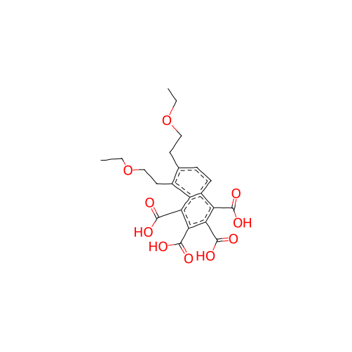 CCOCCc1ccc2c(C(=O)O)c(C(=O)O)c(C(=O)O)c(C(=O)O)c2c1CCOCC